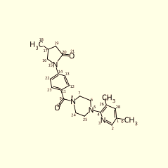 Cc1cnc(N2CCN(C(=O)c3ccc(N4CC(C)CC4=O)cc3)CC2)c(C)c1